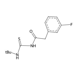 CC(C)(C)NC(=S)NC(=O)Cc1cccc(F)c1